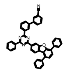 N#Cc1cccc(-c2cccc(-c3nc(-c4ccccc4)nc(-c4ccc5c(c4)oc4c(-c6ccccc6)ccc(-c6ccccc6)c45)n3)c2)c1